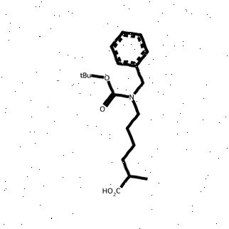 CC(CCCCN(Cc1ccccc1)C(=O)OC(C)(C)C)C(=O)O